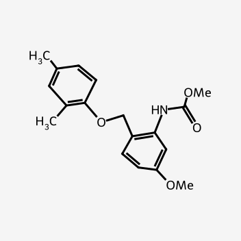 COC(=O)Nc1cc(OC)ccc1COc1ccc(C)cc1C